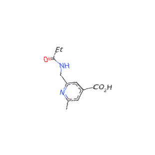 CCC(=O)NCc1cc(C(=O)O)cc(C)n1